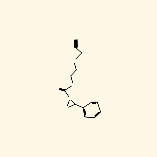 C#CCOCCNC(=O)N1OC1c1ccccc1